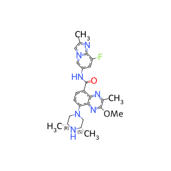 COc1nc2c(N3C[C@@H](C)N[C@@H](C)C3)ccc(C(=O)Nc3cc(F)c4nc(C)cn4c3)c2nc1C